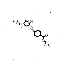 CCOC(=O)C1CCC(OC[C@@H]2C[C@H](OC)CN2)CC1